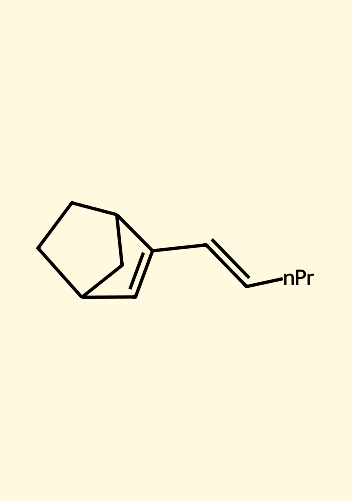 CCCC=CC1=CC2CCC1C2